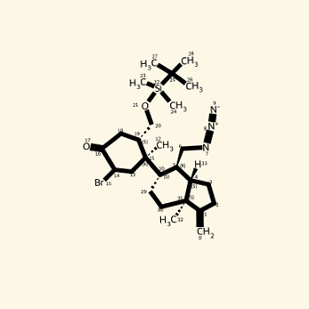 C=C1CC[C@H]2[C@H](CN=[N+]=[N-])[C@@H]([C@@]3(C)CC(Br)C(=O)C[C@@H]3CO[Si](C)(C)C(C)(C)C)CC[C@]12C